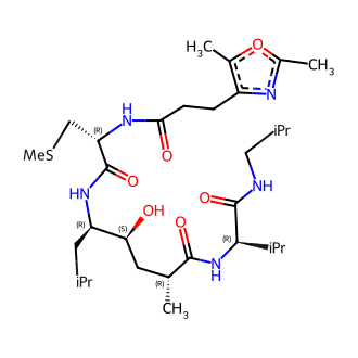 CSC[C@H](NC(=O)CCc1nc(C)oc1C)C(=O)N[C@H](CC(C)C)[C@@H](O)C[C@@H](C)C(=O)N[C@@H](C(=O)NCC(C)C)C(C)C